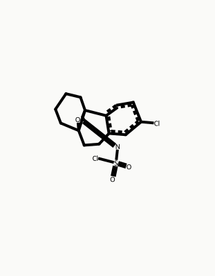 O=S(=O)(Cl)/N=C1/CC23CCCCC2(CCc2cc(Cl)ccc23)O1